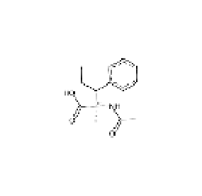 CCC(c1ccccc1)[C@@](C)(NC(C)=O)C(=O)O